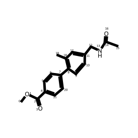 COC(=O)c1ccc(-c2ccc(CNC(C)=O)cc2C)cc1